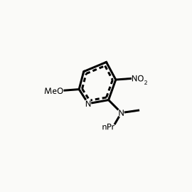 CCCN(C)c1nc(OC)ccc1[N+](=O)[O-]